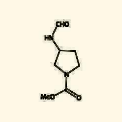 COC(=O)N1CCC(NC=O)C1